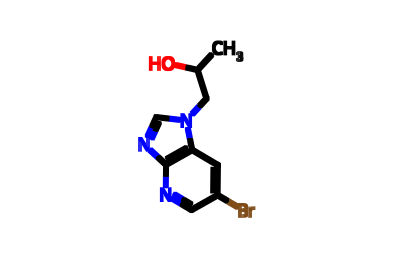 CC(O)Cn1cnc2ncc(Br)cc21